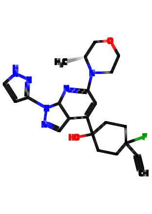 C#CC1(F)CCC(O)(C2=CC(N3CCOC[C@H]3C)=NC3C2C=NN3c2cc[nH]n2)CC1